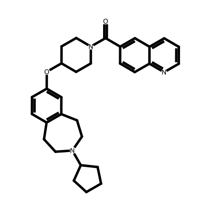 O=C(c1ccc2ncccc2c1)N1CCC(Oc2ccc3c(c2)CCN(C2CCCC2)CC3)CC1